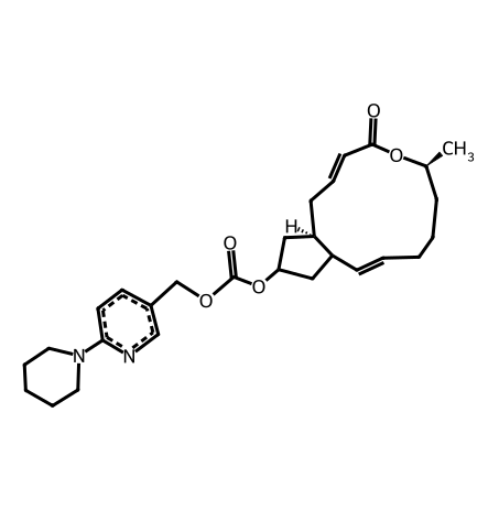 C[C@H]1CCC/C=C/C2CC(OC(=O)OCc3ccc(N4CCCCC4)nc3)C[C@H]2C/C=C/C(=O)O1